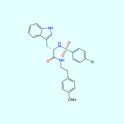 COc1ccc(CCNC(=O)[C@H](Cc2c[nH]c3ccccc23)NS(=O)(=O)c2ccc(Br)cc2)cc1